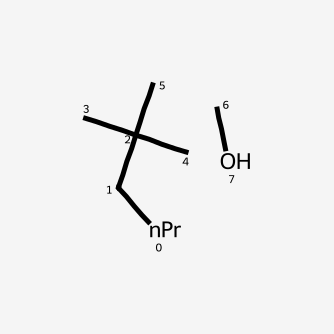 CCCCC(C)(C)C.CO